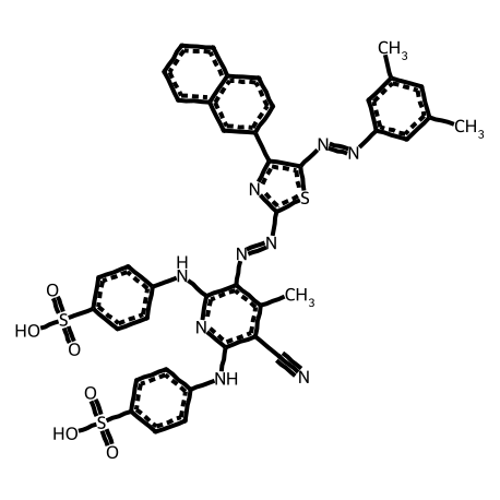 Cc1cc(C)cc(N=Nc2sc(N=Nc3c(Nc4ccc(S(=O)(=O)O)cc4)nc(Nc4ccc(S(=O)(=O)O)cc4)c(C#N)c3C)nc2-c2ccc3ccccc3c2)c1